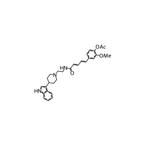 COc1cc(/C=C/C=C/C(=O)NCCN2CCC(c3c[nH]c4ccccc34)CC2)ccc1OC(C)=O